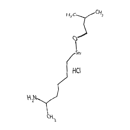 CC(C)C[O][Sn][CH2]CCCC(C)N.Cl